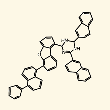 c1ccc(-c2cccc3c(-c4cccc5c4oc4cccc(C6N=C(c7ccc8ccccc8c7)NC(c7ccc8ccccc8c7)N6)c45)cccc23)cc1